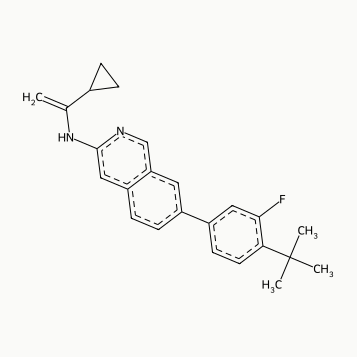 C=C(Nc1cc2ccc(-c3ccc(C(C)(C)C)c(F)c3)cc2cn1)C1CC1